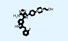 Nc1ncnc2c1c(-c1ccc3[nH]cc(Cc4ccccc4F)c3c1)nn2C1CCC(N2CCN(CCO)CC2)CC1